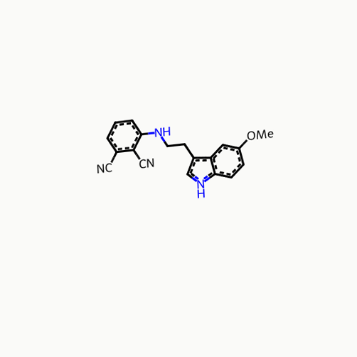 COc1ccc2[nH]cc(CCNc3cccc(C#N)c3C#N)c2c1